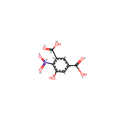 O=C(O)c1cc(O)c(I(=O)=O)c(C(=O)O)c1